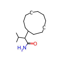 CC(C)C(C(N)=O)C1CCCCCCCCCC1